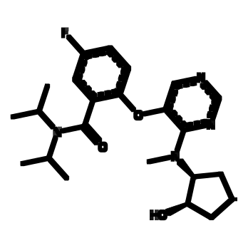 CC(C)N(C(=O)c1cc(F)ccc1Oc1cncnc1N(C)[C@H]1C[CH]C[C@H]1O)C(C)C